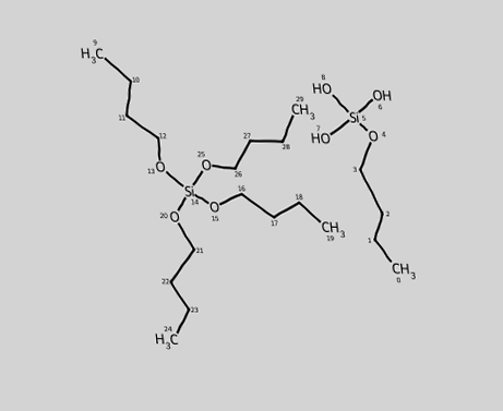 CCCCO[Si](O)(O)O.CCCCO[Si](OCCCC)(OCCCC)OCCCC